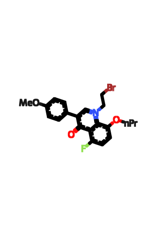 CCCOc1ccc(F)c2c(=O)c(-c3ccc(OC)cc3)cn(CCBr)c12